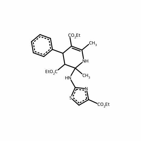 CCOC(=O)C1=C(C)NC(C)(Nc2nc(C(=O)OCC)cs2)C(C(=O)OCC)C1c1ccccc1